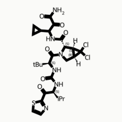 CC(C)[C@H](NC(=O)N[C@H](C(=O)N1C[C@H]2[C@@H]([C@H]1C(=O)NC(C(=O)C(N)=O)C1CC1)C2(Cl)Cl)C(C)(C)C)C(=O)c1nccs1